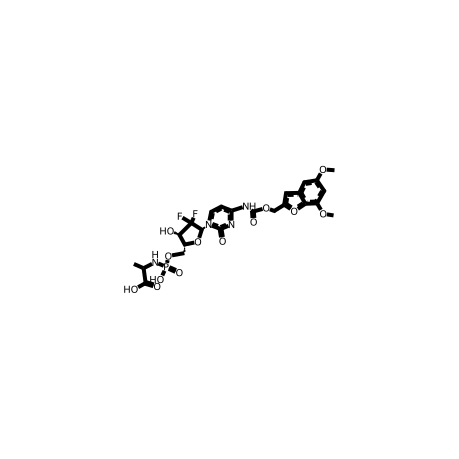 COc1cc(OC)c2oc(COC(=O)Nc3ccn([C@@H]4O[C@H](COP(=O)(O)NC(C)C(=O)O)[C@@H](O)C4(F)F)c(=O)n3)cc2c1